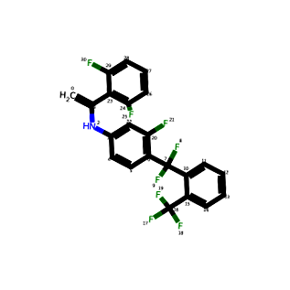 C=C(Nc1ccc(C(F)(F)c2ccccc2C(F)(F)F)c(F)c1)c1c(F)cccc1F